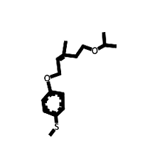 CSc1ccc(OCC=C(C)CCOC(C)C)cc1